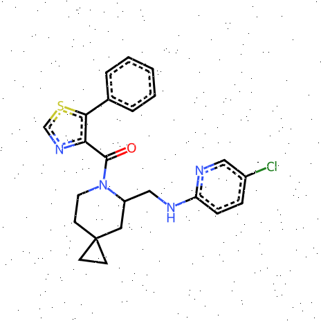 O=C(c1ncsc1-c1ccccc1)N1CCC2(CC2)CC1CNc1ccc(Cl)cn1